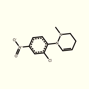 CN1CCC=CN1c1ccc([N+](=O)[O-])cc1Cl